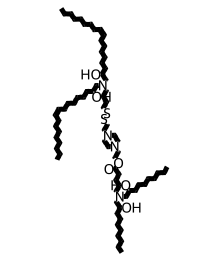 CCCCCCCC/C=C\CCCCCCC(O)CN(CCCCSSCCN1CCN(CCOC(=O)CCCCN(CC(O)CCCCCCCC)CC(O)CCCCCCCC)CC1)CC(O)CCCCCC/C=C\CCCCCCCC